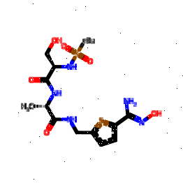 CCCCS(=O)(=O)N[C@H](CO)C(=O)N[C@@H](C)C(=O)NCc1ccc(/C(N)=N/O)s1